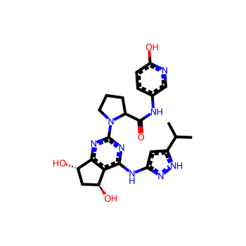 CC(C)c1cc(Nc2nc(N3CCCC3C(=O)Nc3ccc(O)nc3)nc3c2[C@@H](O)C[C@@H]3O)n[nH]1